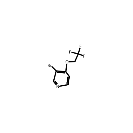 FC(F)(F)COc1ccncc1Br